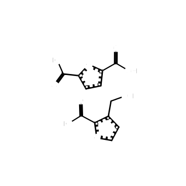 O=C(O)c1ccc(C(=O)O)o1.O=C(O)c1occc1CO